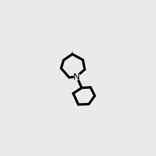 [CH]1CCCN(C2CCCCC2)CC1